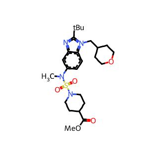 COC(=O)C1CCN(S(=O)(=O)N(C)c2ccc3c(c2)nc(C(C)(C)C)n3CC2CCOCC2)CC1